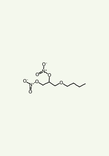 CCCCOCC(CO[N+](=O)[O-])O[N+](=O)[O-]